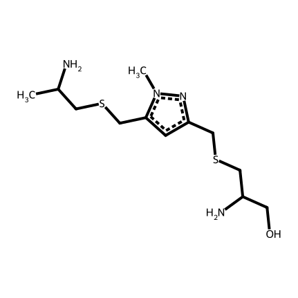 CC(N)CSCc1cc(CSCC(N)CO)nn1C